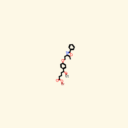 CCOC(CCCC(=O)OBr)c1ccc(OCCc2nc(-c3ccccc3)oc2C)cc1